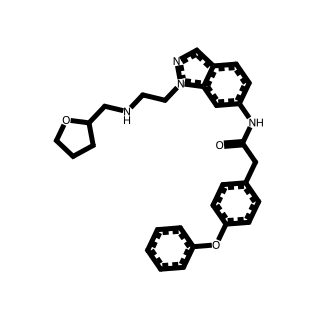 O=C(Cc1ccc(Oc2ccccc2)cc1)Nc1ccc2cnn(CCNCC3CCCO3)c2c1